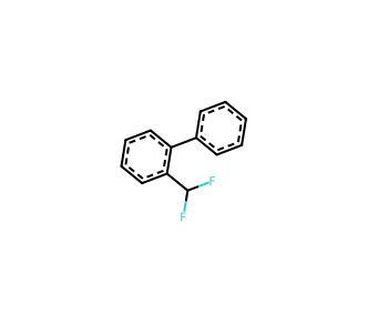 FC(F)c1ccccc1-c1ccccc1